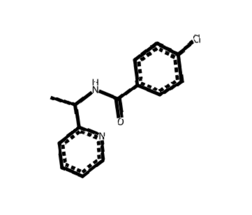 CC(NC(=O)c1ccc(Cl)cc1)c1ccccn1